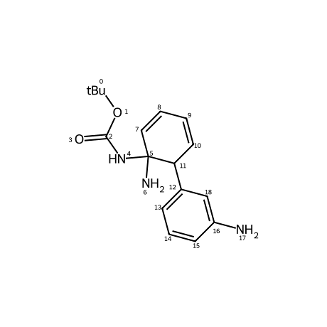 CC(C)(C)OC(=O)NC1(N)C=CC=CC1c1cccc(N)c1